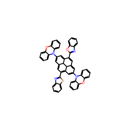 C1=C(c2nc3ccccc3o2)C2=CC(N3c4ccccc4Oc4ccccc43)=CC3=CC(c4nc5ccccc5s4)=C4C=C(N5c6ccccc6Oc6ccccc65)C=C1C4C32